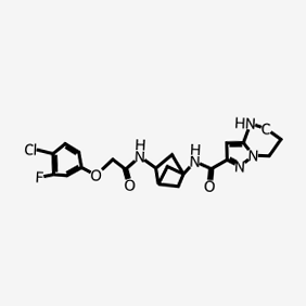 O=C(COc1ccc(Cl)c(F)c1)NC1CC2(NC(=O)c3cc4n(n3)CCCN4)CC1C2